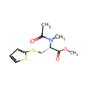 COC(=O)[C@H](CSc1cccs1)N(C)C(C)=O